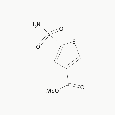 COC(=O)c1csc(S(N)(=O)=O)c1